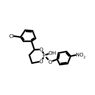 O=[N+]([O-])c1ccc(O[P]2(O)OCCC(c3cccc(Cl)c3)O2)cc1